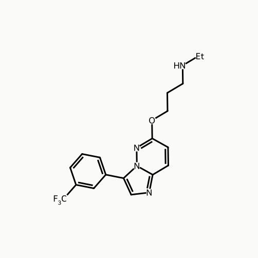 CCNCCCOc1ccc2ncc(-c3cccc(C(F)(F)F)c3)n2n1